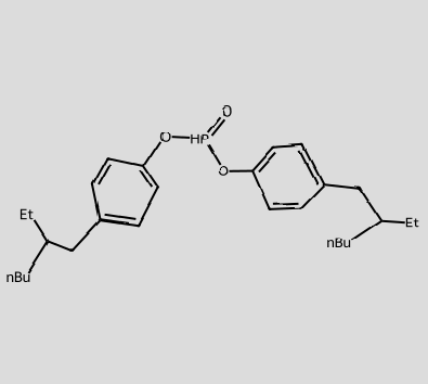 CCCCC(CC)Cc1ccc(O[PH](=O)Oc2ccc(CC(CC)CCCC)cc2)cc1